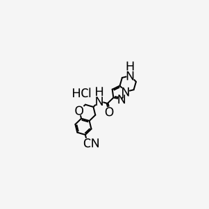 Cl.N#Cc1ccc2c(c1)CC(NC(=O)c1cc3n(n1)CCNC3)CO2